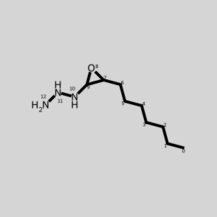 CCCCCCCC1OC1NNN